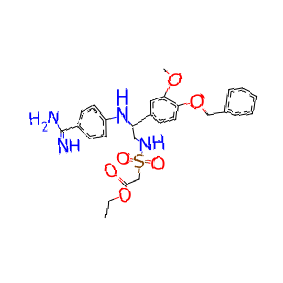 CCOC(=O)CS(=O)(=O)NCC(Nc1ccc(C(=N)N)cc1)c1ccc(OCc2ccccc2)c(OC)c1